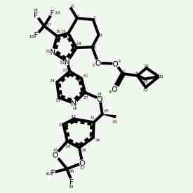 CC1CCC(OOC(=O)C23CC(C2)C3)c2c1c(C(F)(F)F)nn2-c1ccnc(O[C@@H](C)c2ccc3c(c2)OC(F)(F)O3)c1